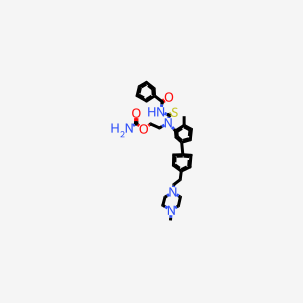 Cc1ccc(-c2ccc(CCN3CCN(C)CC3)cc2)cc1N(CCOC(N)=O)C(=S)NC(=O)c1ccccc1